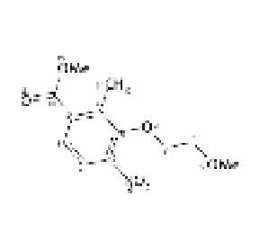 COCCOc1c([N+](=O)[O-])ccc(C(=O)OC)c1C